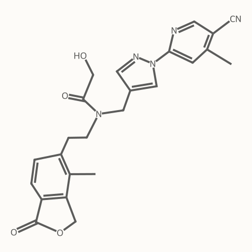 Cc1cc(-n2cc(CN(CCc3ccc4c(c3C)COC4=O)C(=O)CO)cn2)ncc1C#N